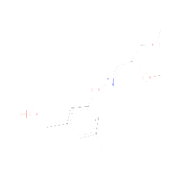 COCC(C=NOc1cc(F)cc(CO)c1)OC